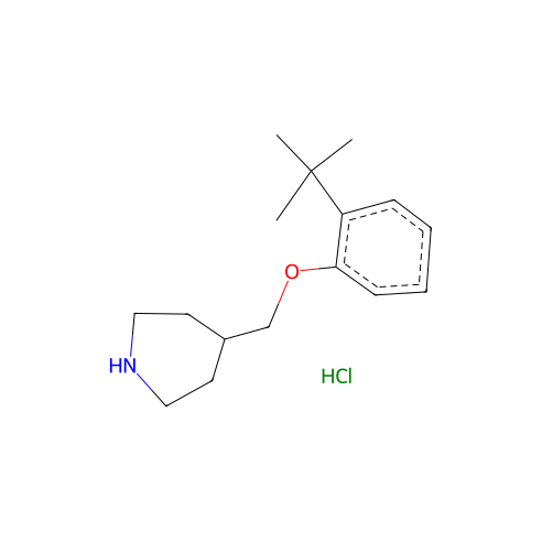 CC(C)(C)c1ccccc1OCC1CCNCC1.Cl